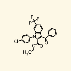 CCOC(=O)c1c(C(=O)c2ccccc2)c2ccc(C(F)(F)F)cc2n1-c1ccc(Cl)cc1